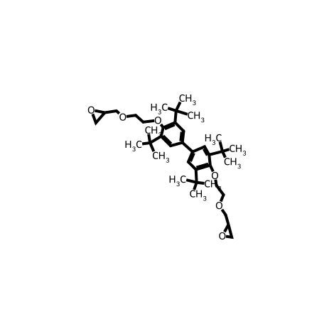 CC(C)(C)c1cc(-c2cc(C(C)(C)C)c(OCCOCC3CO3)c(C(C)(C)C)c2)cc(C(C)(C)C)c1OCCOCC1CO1